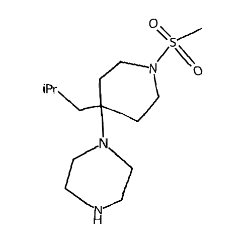 CC(C)CC1(N2CCNCC2)CCN(S(C)(=O)=O)CC1